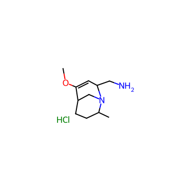 COC1=CC(CN)N2CC1CCC2C.Cl